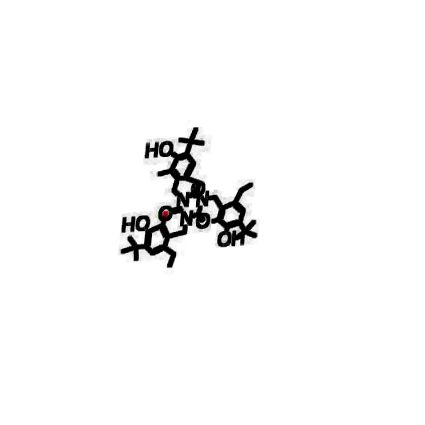 CCc1cc(C(C)(C)C)c(O)c(C)c1Cn1c(=O)n(Cc2c(CC)cc(C(C)(C)C)c(O)c2C)c(=O)n(Cc2c(CC)cc(C(C)(C)C)c(O)c2C)c1=O